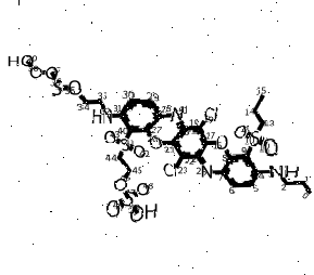 CCCNc1ccc2c(c1S(=O)(=O)CCC)Oc1c(Cl)c3c(c(Cl)c1=N2)Oc1c(ccc(NCCOSOOO)c1S(=O)(=O)CCOS(=O)(=O)O)N=3